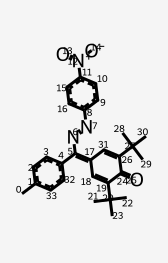 Cc1ccc(C(N=Nc2ccc([N+](=O)[O-])cc2)=C2C=C(C(C)(C)C)C(=O)C(C(C)(C)C)=C2)cc1